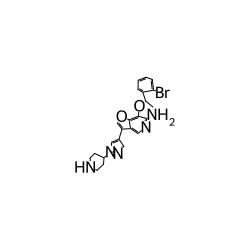 CC(Oc1c(N)ncc2c(-c3cnn(C4CCNCC4)c3)coc12)c1ccccc1Br